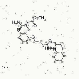 COC(=O)CN1Cc2c(cccc2OCCCC(=O)NN2CCCC3CCCCC32)N=C1N